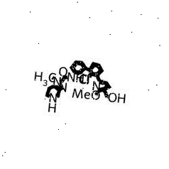 COc1nc(-c2cccc(-c3cccc(NC(=O)c4nc5c(n4C)CCNC5)c3Cl)c2Cl)ccc1CO